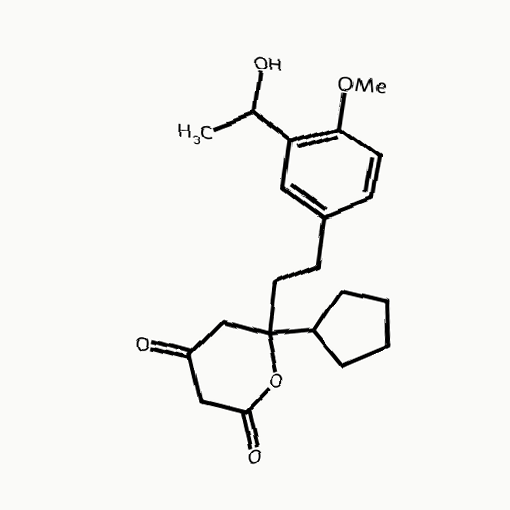 COc1ccc(CCC2(C3CCCC3)CC(=O)CC(=O)O2)cc1C(C)O